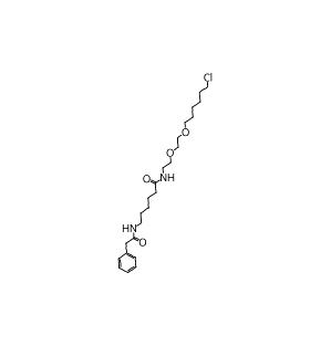 O=C(CCCCCNC(=O)Cc1ccccc1)NCCOCCOCCCCCCCl